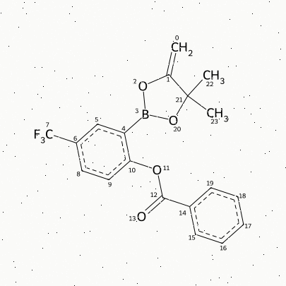 C=C1OB(c2cc(C(F)(F)F)ccc2OC(=O)c2ccccc2)OC1(C)C